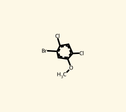 COc1cc(Br)c(Cl)cc1Cl